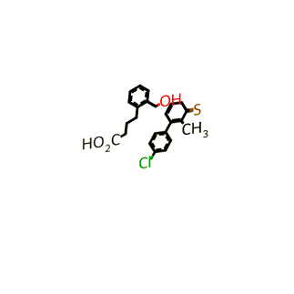 CC1=C(c2ccc(Cl)cc2)C=CCC1=S.O=C(O)CCCc1ccccc1CO